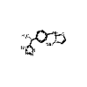 C[C@H](c1ccc(NC2SC=CN2C(C)(C)C)cc1)c1nnn[nH]1